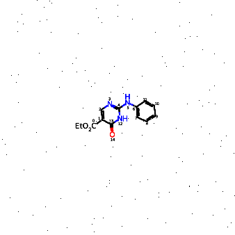 CCOC(=O)c1cnc(Nc2ccccc2)[nH]c1=O